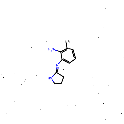 Cc1cccc(N=C2CCCN2)c1N